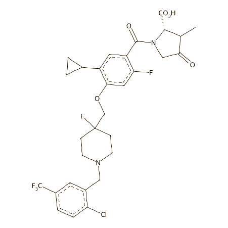 CC1C(=O)CN(C(=O)c2cc(C3CC3)c(OCC3(F)CCN(Cc4cc(C(F)(F)F)ccc4Cl)CC3)cc2F)[C@@H]1C(=O)O